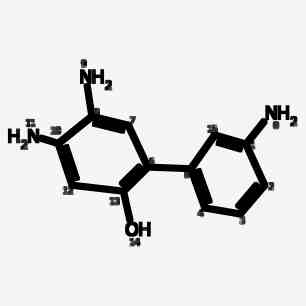 Nc1cccc(-c2cc(N)c(N)cc2O)c1